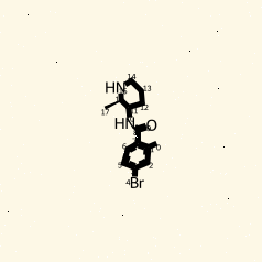 Cc1cc(Br)ccc1C(=O)NC1CCCN[C@@H]1C